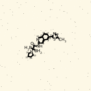 BC(B)(C(=O)Nc1cc2cc(-c3nnc(C)s3)ccc2cn1)N1CCCC1